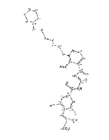 COc1c(COCCCCCC2CCCCC2)cccc1-c1csc(NC(=O)c2cc(F)c(C=C(C)C(=O)O)c(F)c2)n1